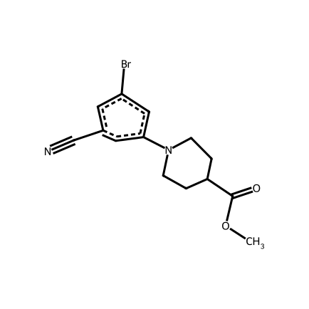 COC(=O)C1CCN(c2cc(Br)cc(C#N)c2)CC1